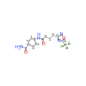 NC(=O)c1ccc(NC(=O)CCCc2noc(C(F)(F)F)n2)cc1